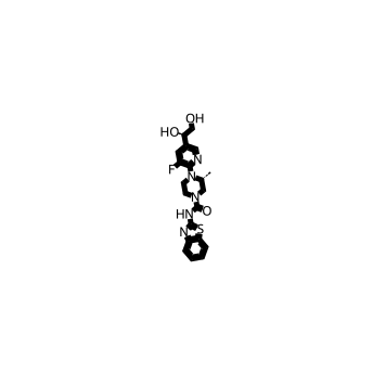 C[C@@H]1CN(C(=O)Nc2nc3ccccc3s2)CCN1c1ncc([C@H](O)CO)cc1F